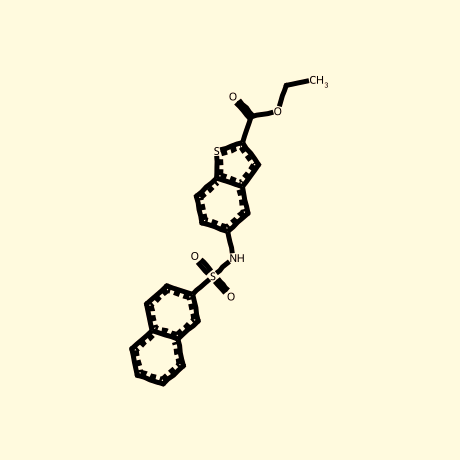 CCOC(=O)c1cc2cc(NS(=O)(=O)c3ccc4ccccc4c3)ccc2s1